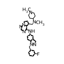 CN1CCC(N(C)Cc2ccn3ncnc(Nc4ccc5c(cnn5Cc5cccc(F)c5)c4)c23)CC1